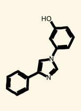 Oc1cccc(-n2cnc(-c3ccccc3)c2)c1